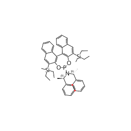 CC[Si](C)(CC)c1cc2ccccc2c2c1op(N([C@H](C)c1ccccc1)[C@H](C)c1ccccc1)oc1c([Si](C)(CC)CC)cc3ccccc3c12